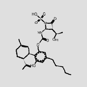 C=C(C)[C@@H]1CCC(C)=C[C@H]1c1c(O)cc(CCCCC)cc1OC(=O)N[C@@H]1[C@@H]([C@@H](C)O)C(=O)N1S(=O)(=O)O